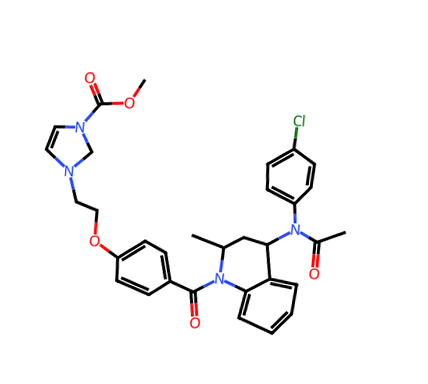 COC(=O)N1C=CN(CCOc2ccc(C(=O)N3c4ccccc4C(N(C(C)=O)c4ccc(Cl)cc4)CC3C)cc2)C1